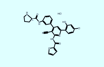 Cl.N#Cc1c(-c2cccc(NC(=O)[C@H]3CCCN3)c2)cc(-c2ccc(Cl)cc2O)nc1NC(=O)c1ccco1